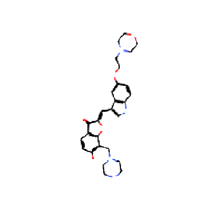 O=C1/C(=C/c2c[nH]c3ccc(OCCN4CCOCC4)cc23)Oc2c1ccc(O)c2CN1CCNCC1